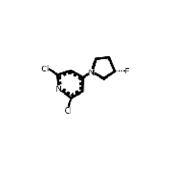 F[C@H]1CCN(c2cc(Cl)nc(Cl)c2)C1